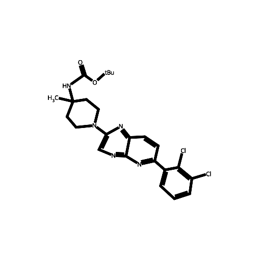 CC1(NC(=O)OC(C)(C)C)CCN(c2cnc3nc(-c4cccc(Cl)c4Cl)ccc3n2)CC1